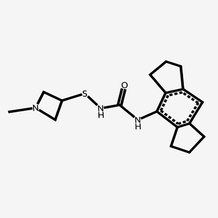 CN1CC(SNC(=O)Nc2c3c(cc4c2CCC4)CCC3)C1